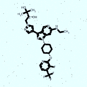 CCNc1cc2c(cn1)c(-c1cnn(C[C@@H](O)C(C)(C)O)c1)nn2[C@H]1CC[C@@H](Oc2nccc(C(F)(F)F)c2F)CC1